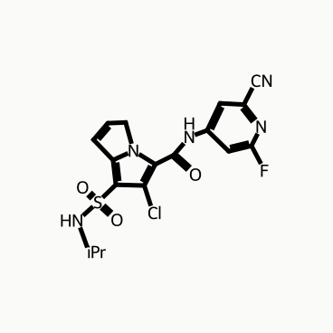 CC(C)NS(=O)(=O)c1c(Cl)c(C(=O)Nc2cc(F)nc(C#N)c2)n2c1C=CC2